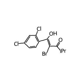 CC(C)C(=O)C(Br)=C(O)c1ccc(Cl)cc1Cl